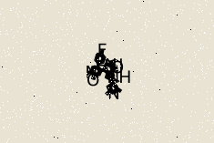 Cc1cc(-c2cc3c(-c4cc(=O)n(C)cc4-c4ccc(F)cc4)cn(C)c(=O)c3[nH]2)cc(C)n1.Cl